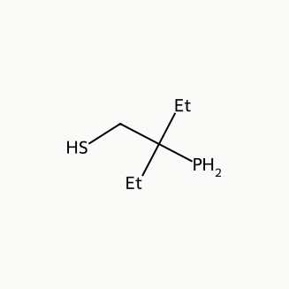 CCC(P)(CC)CS